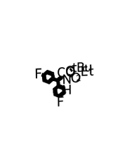 CCOC(=O)C(NC(=O)OC(C)(C)C)=C(c1ccc(F)cc1)c1ccc(F)cc1